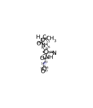 CC1(C)CC2Cc3c(sc(NC(=O)/C=C/c4ccoc4)c3C#N)CN2C(=O)O1